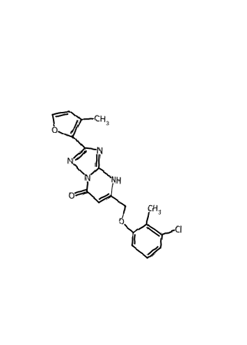 Cc1ccoc1-c1nc2[nH]c(COc3cccc(Cl)c3C)cc(=O)n2n1